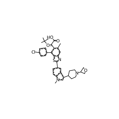 Cc1cc2nc(-c3ccc4c(c3)c(C3CCN(C5COC5)CC3)cn4C)sc2c(-c2ccc(Cl)cc2)c1[C@H](OC(C)(C)C)C(=O)O